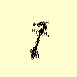 CC(C)Oc1ccc2[nH]nc(-c3cc(N4C[C@@H](C)N(CCOCCOCCOCCOc5ccc6c(c5)C(=O)N(C5CCC(=O)NC5=O)C6=O)[C@@H](C)C4)ncn3)c2c1